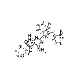 Nc1nc(-c2nn(Cc3ccccc3F)c3c(F)cccc23)nc(N)c1NC(=O)C1CCCOC1